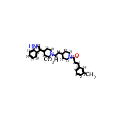 Cc1cccc(/C=C/C(=O)N2CCC(CC(C(=O)O)N3CCC(c4c[nH]c5ccccc45)CC3)CC2)c1